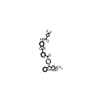 CN1N=C(C(c2ccccc2)N2CCN(C(=O)c3cc(-c4nc5cc(NC(=O)C6CC(F)(F)C6)ccc5o4)ccn3)CC2)NN1